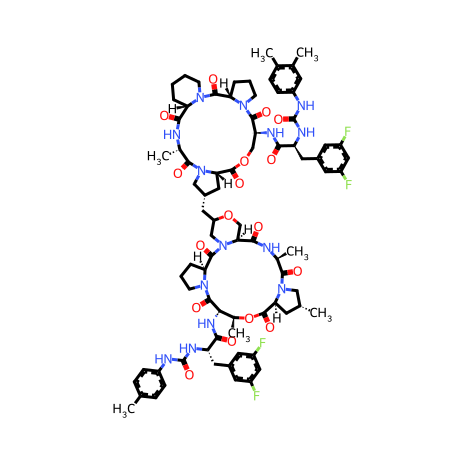 Cc1ccc(NC(=O)N[C@@H](Cc2cc(F)cc(F)c2)C(=O)N[C@@H]2C(=O)N3CCC[C@H]3C(=O)N3CC(C[C@H]4C[C@H]5C(=O)OC[C@H](NC(=O)[C@H](Cc6cc(F)cc(F)c6)NC(=O)Nc6ccc(C)c(C)c6)C(=O)N6CCC[C@H]6C(=O)N6CCCC[C@H]6C(=O)N[C@@H](C)C(=O)N5C4)OC[C@H]3C(=O)N[C@@H](C)C(=O)N3C[C@H](C)C[C@H]3C(=O)O[C@H]2C)cc1